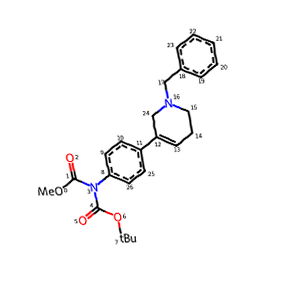 COC(=O)N(C(=O)OC(C)(C)C)c1ccc(C2=CCCN(Cc3ccccc3)C2)cc1